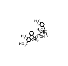 Cc1ccc(CC(C)(C)NC[C@@H](O)CO[C@H](C)c2ccccc2-c2c(C)cc(C(=O)O)cc2C)cc1F